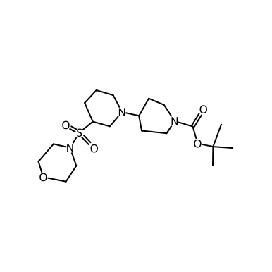 CC(C)(C)OC(=O)N1CCC(N2CCCC(S(=O)(=O)N3CCOCC3)C2)CC1